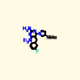 CN[C@@H]1CCN(c2nc(N)nc(N)c2Cc2cccc(F)c2)C1